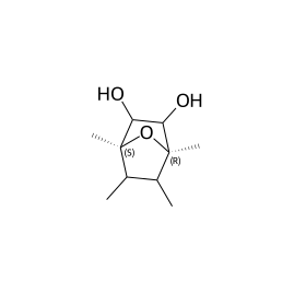 CC1C(C)[C@@]2(C)O[C@]1(C)C(O)C2O